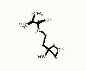 C=C(C)C(=O)OCCC1(C)COC1